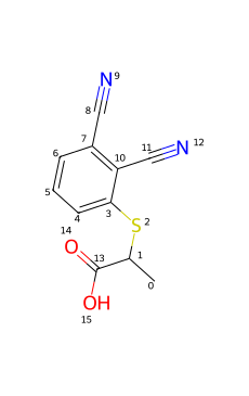 CC(Sc1cccc(C#N)c1C#N)C(=O)O